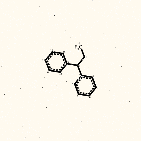 FC(F)(F)CC(c1ccccc1)c1ccccc1